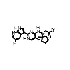 CC1([C@@H](CC(=O)O)NC2=NC(c3c[nH]c4ncc(F)cc34)NC=C2F)CCCC1